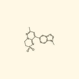 CC1=NN2CCS(=O)(=O)N=C2C(c2ccc3c(ccn3C)c2)=C1